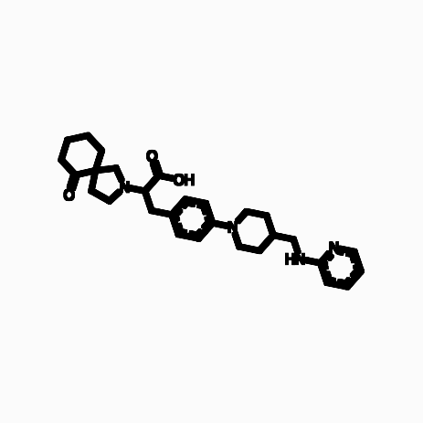 O=C(O)C(Cc1ccc(N2CCC(CNc3ccccn3)CC2)cc1)N1CCC2(CCCCC2=O)C1